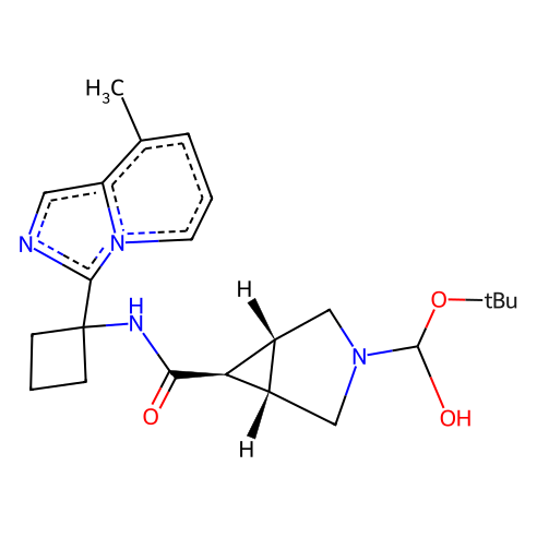 Cc1cccn2c(C3(NC(=O)[C@H]4[C@@H]5CN(C(O)OC(C)(C)C)C[C@@H]54)CCC3)ncc12